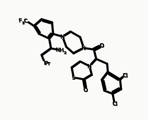 CC(C)CC(N)c1cc(C(F)(F)F)ccc1N1CCN(C(=O)C(Cc2ccc(Cl)cc2Cl)N2CCSC(=O)C2)CC1